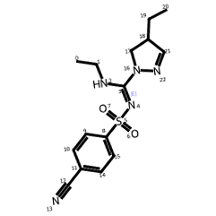 CCN/C(=N\S(=O)(=O)c1ccc(C#N)cc1)N1CC(CC)C=N1